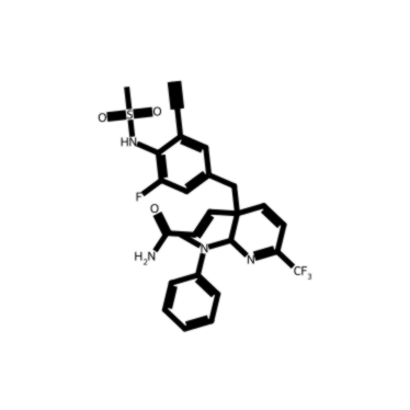 C#Cc1cc(CC2(C=CC(N)=O)C=CC(C(F)(F)F)=NC2N(C)c2ccccc2)cc(F)c1NS(C)(=O)=O